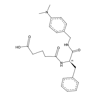 CN(C)c1ccc(CNC(=O)[C@@H](Cc2ccccc2)NC(=O)CCCC(=O)O)cc1